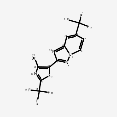 FC(F)(F)c1ccn2nc(-c3sc(C(F)(F)F)nc3Br)nc2c1